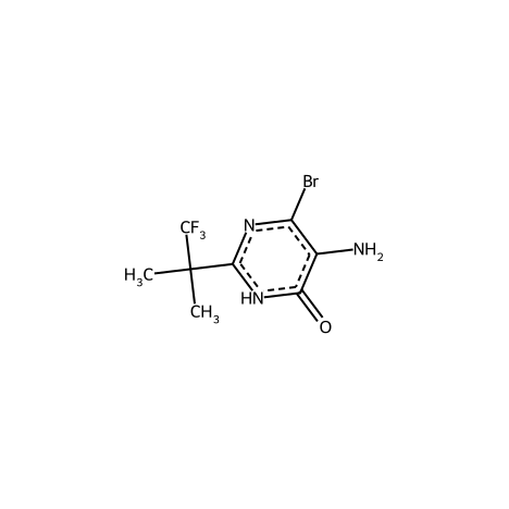 CC(C)(c1nc(Br)c(N)c(=O)[nH]1)C(F)(F)F